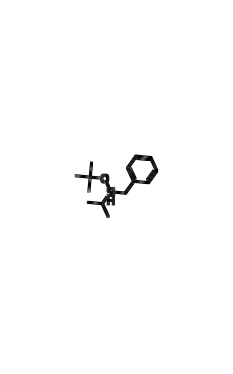 CC(C)[SiH](Cc1ccccc1)OC(C)(C)C